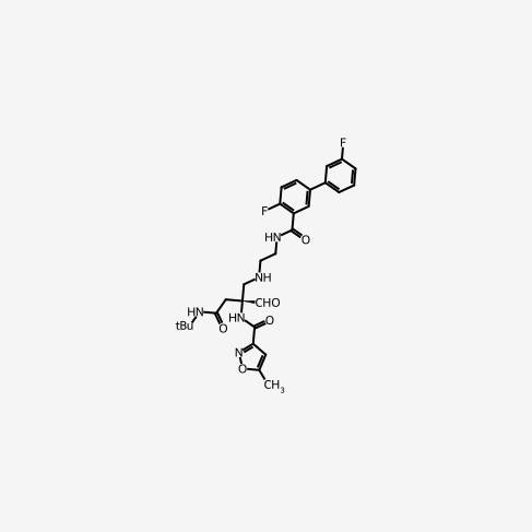 Cc1cc(C(=O)N[C@@](C=O)(CNCCNC(=O)c2cc(-c3cccc(F)c3)ccc2F)CC(=O)NC(C)(C)C)no1